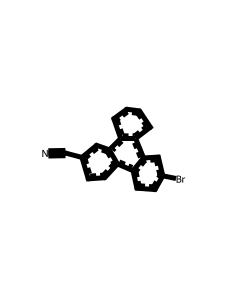 N#Cc1ccc2c3ccc(Br)cc3c3ccccc3c2c1